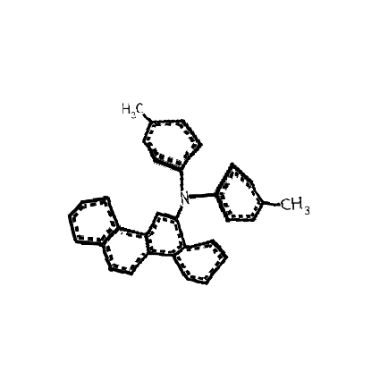 Cc1ccc(N(c2ccc(C)cc2)c2cc3c4ccccc4ccc3c3ccccc23)cc1